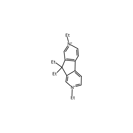 CC[n+]1ccc2c(c1)C(CC)(CC)c1c[n+](CC)ccc1-2